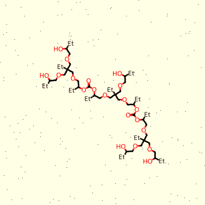 CCC(O)COCC(CC)(COCC(O)CC)COCC(CC)OC(=O)OC(CC)COCC(CC)(COCC(O)CC)COCC(CC)OC(=O)OC(CC)COCC(CC)(COCC(O)CC)COCC(O)CC